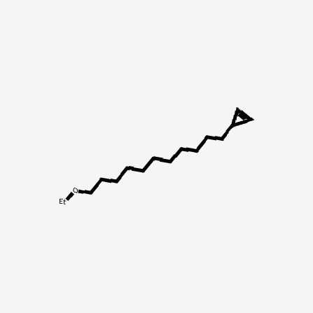 CCOCCCCCCCCCCCC1C=C1